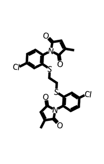 CC1=CC(=O)N(c2ccc(Cl)cc2SCCSc2cc(Cl)ccc2N2C(=O)C=C(C)C2=O)C1=O